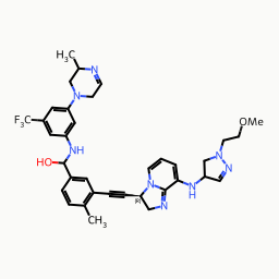 COCCN1CC(NC2=CC=CN3C2=NC[C@H]3C#Cc2cc(C(O)Nc3cc(N4CC=NC(C)C4)cc(C(F)(F)F)c3)ccc2C)C=N1